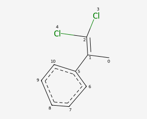 CC(=C(Cl)Cl)c1ccccc1